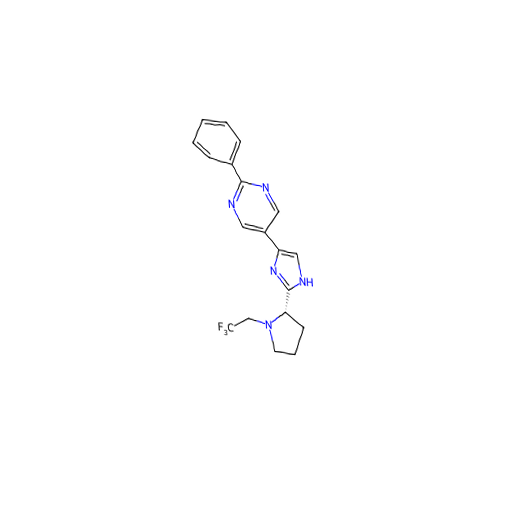 FC(F)(F)CN1CCC[C@H]1c1nc(-c2cnc(-c3ccccc3)nc2)c[nH]1